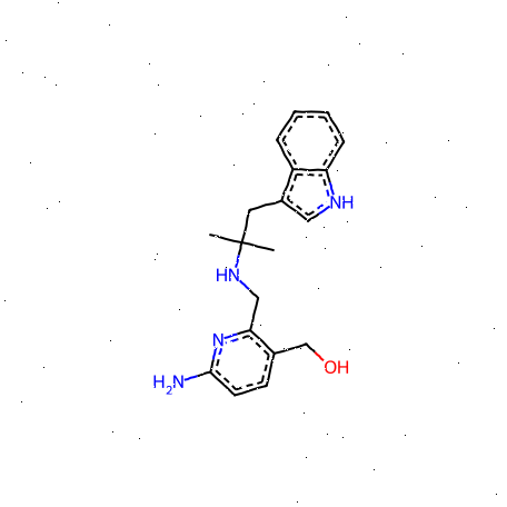 CC(C)(Cc1c[nH]c2ccccc12)NCc1nc(N)ccc1CO